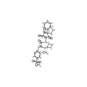 C[C@@H](C1CCC1)N(Cc1ccc(S(C)(=O)=O)cc1)C(=O)CN1C(=O)NC2(CCc3ccccc32)C1=O